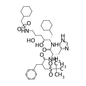 CC(C)(C)S(=O)(=O)CC(Cc1ccccc1)C(=O)N[C@@H](Cc1c[nH]cn1)C(=O)N[C@@H](CC1CCCCC1)[C@@H](O)C[C@H](O)CNS(=O)(=O)CC1CCCCC1